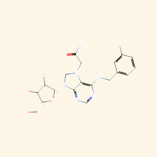 NC(=O)CN1CN([C@@H]2O[C@H](CO)C(O)C2O)c2ncnc(NCc3cccc(I)c3)c21